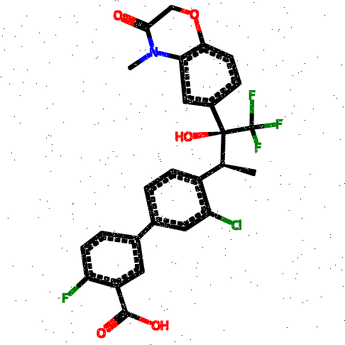 C[C@@H](c1ccc(-c2ccc(F)c(C(=O)O)c2)cc1Cl)[C@](O)(c1ccc2c(c1)N(C)C(=O)CO2)C(F)(F)F